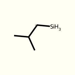 CC(C)[CH][SiH3]